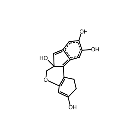 OC1=CC2=C(CC1)C1=c3cc(O)c(O)cc3=CC1(O)CO2